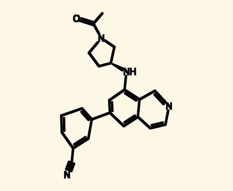 CC(=O)N1CC[C@H](Nc2cc(-c3cccc(C#N)c3)cc3ccncc23)C1